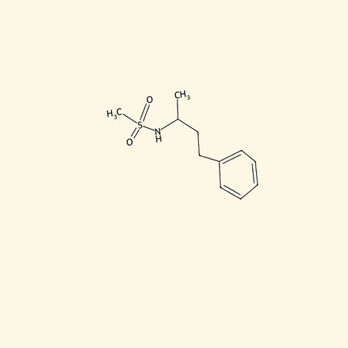 CC(CCc1ccccc1)NS(C)(=O)=O